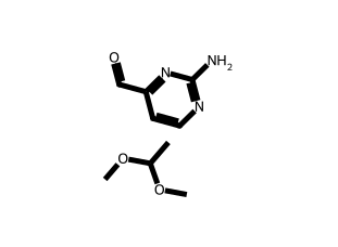 COC(C)OC.Nc1nccc(C=O)n1